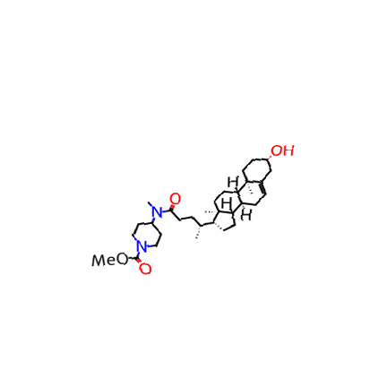 COC(=O)N1CCC(N(C)C(=O)CC[C@@H](C)[C@H]2CC[C@H]3[C@@H]4CC=C5C[C@@H](O)CC[C@]5(C)[C@H]4CC[C@]23C)CC1